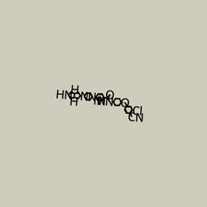 N#Cc1ccc(O[C@H]2CC[C@@H](NC(=O)c3ccc(N4CCN([C@@H]5C[C@H]6CNC[C@H]6C5)CC4)nn3)CC2)cc1Cl